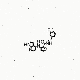 O=C(NCCc1cccc(F)c1)c1sccc1Nc1ccnc2[nH]ccc12